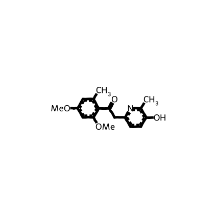 COc1cc(C)c(C(=O)Cc2ccc(O)c(C)n2)c(OC)c1